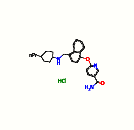 CCCC1CCC(NCc2ccc(Oc3ccc(C(N)=O)cn3)c3ccccc23)CC1.Cl